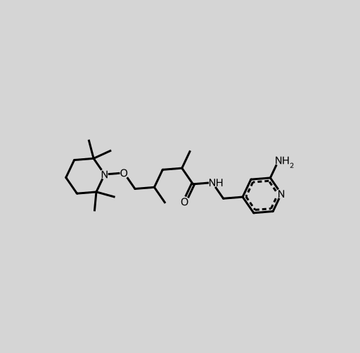 CC(CON1C(C)(C)CCCC1(C)C)CC(C)C(=O)NCc1ccnc(N)c1